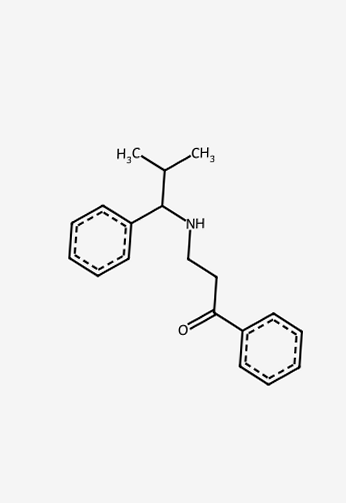 CC(C)C(NCCC(=O)c1ccccc1)c1ccccc1